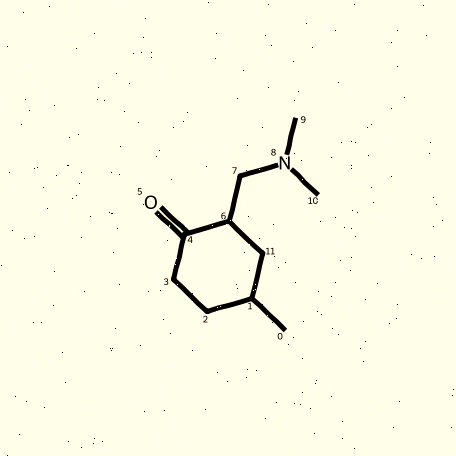 CC1CCC(=O)C(CN(C)C)C1